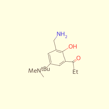 CCC(=O)c1cc(C(C)(C)C)cc(CN)c1O.CNC